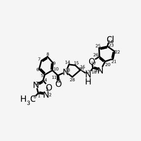 Cc1noc(-c2ccccc2C(=O)N2CC[C@@H](Nc3nc4ccc(Cl)cc4o3)C2)n1